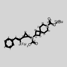 CC/C(=C\c1ccccc1)C1CC1N(C(=O)C(F)(F)F)C1CC2(CCN(C(=O)OC(C)(C)C)CC2)C1